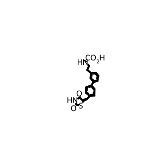 O=C(O)NCCc1cccc(-c2ccc(C=C3SC(=O)NC3=O)cc2)c1